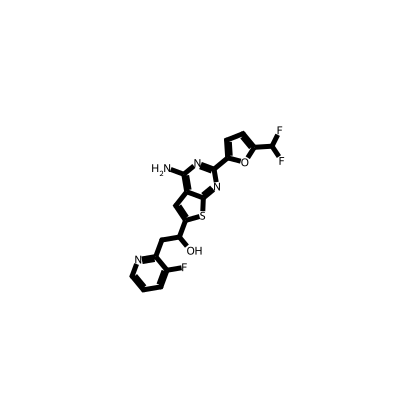 Nc1nc(-c2ccc(C(F)F)o2)nc2sc(C(O)Cc3ncccc3F)cc12